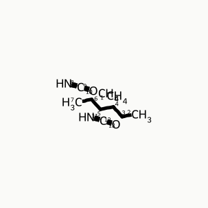 C.C.CCCCCC.N=C=O.N=C=O